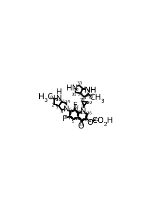 CC1CC2CN(c3c(F)cc4c(=O)c(OC(=O)O)cn(C5CC5)c4c3F)CC2N1.CC1CC2CNCC2N1